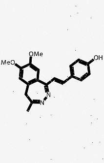 COc1cc2c(cc1OC)C(C=Cc1ccc(O)cc1)=NN=C(C)C2